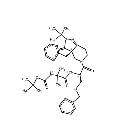 CC(C)(C)OC(=O)NC(C)(C)C(=O)N[C@H](COCc1ccccc1)C(=O)N1CCC2=NN(C(C)(C)C)C(=O)[C@@]2(Cc2ccccc2)C1